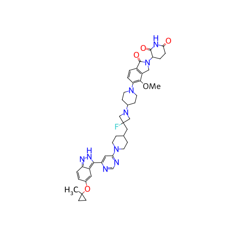 COc1c(N2CCC(N3CC(F)(CC4CCN(c5cc(-c6[nH]nc7ccc(OC8(C)CC8)cc67)ncn5)CC4)C3)CC2)ccc2c1CN(C1CCC(=O)NC1=O)C2=O